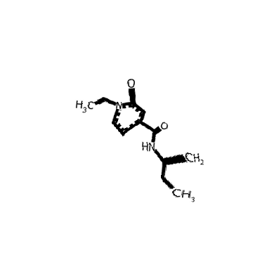 C=C(CC)NC(=O)c1ccn(CC)c(=O)c1